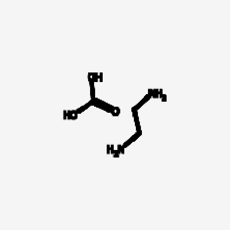 NCCN.O=C(O)O